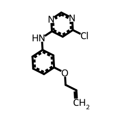 C=CCOc1cccc(Nc2cc(Cl)ncn2)c1